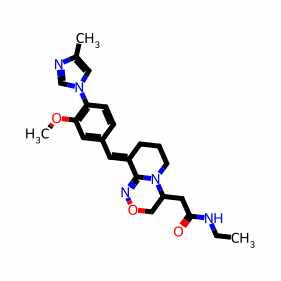 CCNC(=O)CC1CON=C2/C(=C/c3ccc(-n4cnc(C)c4)c(OC)c3)CCCN21